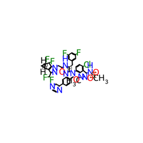 Cn1nc(NS(C)(=O)=O)c2c(Cl)ccc(-n3c([C@H](Cc4cc(F)cc(F)c4)NC(=O)Cn4nc(C(F)F)c5c4C(F)(F)[C@@H]4C[C@H]54)nc4cc(-c5cnccn5)ccc4c3=O)c21